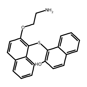 NCCOc1ccc2ccccc2c1Sc1c(O)ccc2ccccc12